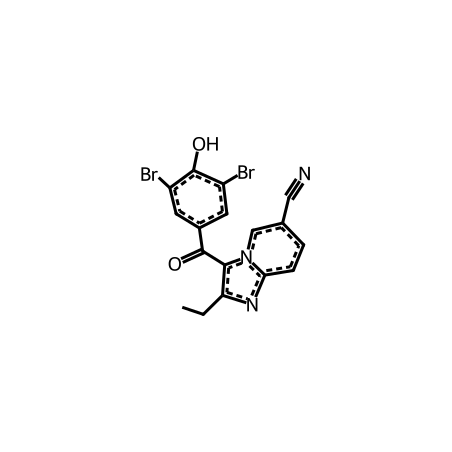 CCc1nc2ccc(C#N)cn2c1C(=O)c1cc(Br)c(O)c(Br)c1